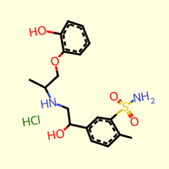 Cc1ccc(C(O)CNC(C)COc2ccccc2O)cc1S(N)(=O)=O.Cl